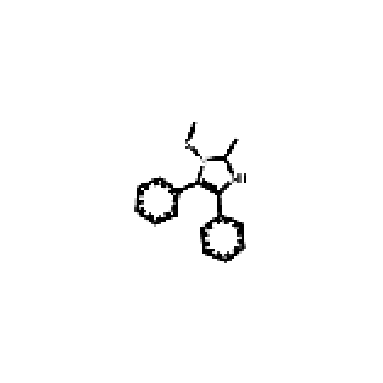 CSN1C(c2ccccc2)=C(c2ccccc2)NC1C